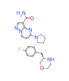 NC(=O)c1cnn2ccc(N3CCC[C@@H]3c3cc(F)ccc3C[C@@H]3COCCN3)nc12